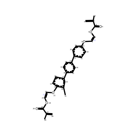 C=C(C)C(=O)O/C=C\Oc1ccc(-c2ccc(-c3ccc(O/C=C\OC(=O)C(=C)C)c(C)c3)cc2)cc1